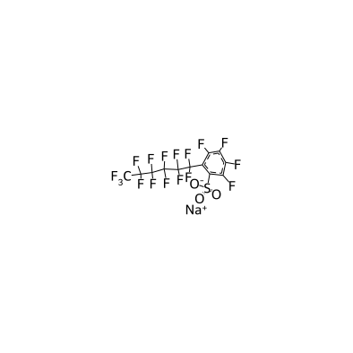 O=S(=O)([O-])c1c(F)c(F)c(F)c(F)c1C(F)(F)C(F)(F)C(F)(F)C(F)(F)C(F)(F)C(F)(F)F.[Na+]